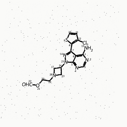 Nc1ncnc2c1c(-c1sccc1Cl)nn2C1CN(CCOC=O)C1